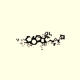 CO[C@H]1CC[C@]23C[C@]24CC[C@]2(C)C5[C@H](C)C[C@H]([C@H](OC(=O)N6CCC6)C(C)C)O[C@@H]5[C@H](O)[C@@]2(C)[C@@H]4CC[C@H]3C1(C)C